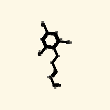 CON=CCCc1c(Cl)cc(Cl)cc1Cl